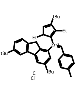 CCC1=[C](/[Zr+2](=[CH]/c2ccc(C)cc2)[c]2cc(C(C)(C)C)cc3c2Cc2ccc(C(C)(C)C)cc2-3)C(CC)C=C1C(C)(C)C.[Cl-].[Cl-]